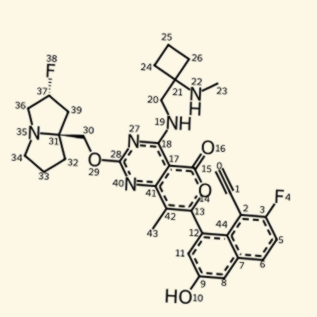 C#Cc1c(F)ccc2cc(O)cc(-c3oc(=O)c4c(NCC5(NC)CCC5)nc(OC[C@@]56CCCN5C[C@H](F)C6)nc4c3C)c12